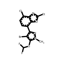 CCc1nc2c(Cl)ccc(-c3nn(C)c(OC(F)F)c3Br)c2o1